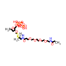 B[C@H]1C[C@@H](OCSSC(C)(C)CNC(=O)CCOCCOCCOCCOCCNC(=O)CC)C(COP(=O)(O)OP(=O)(O)OP(=O)(O)O)O1